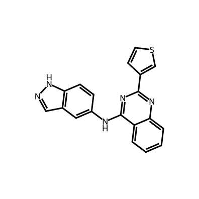 c1ccc2c(Nc3ccc4[nH]ncc4c3)nc(-c3ccsc3)nc2c1